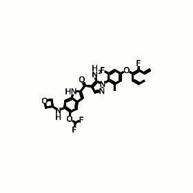 C=C/C(F)=C(\C=C/C)Oc1cc(C)c(-n2ncc(C(=O)c3cc4cc(OC(F)F)c(NC5COC5)cc4[nH]3)c2N)c(F)c1